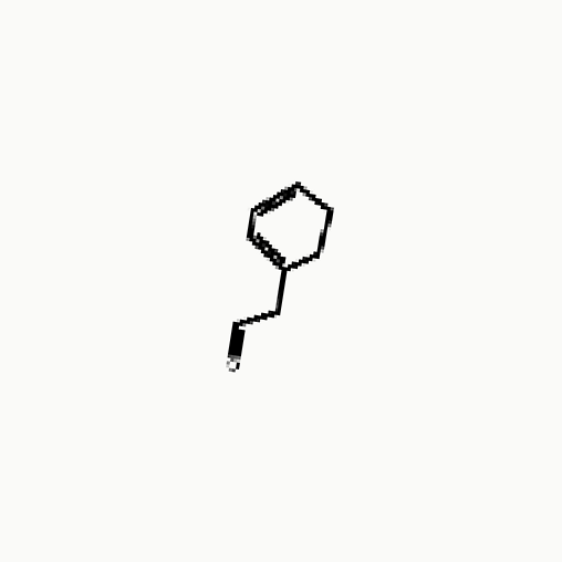 O=CCC1=CC=CCC1